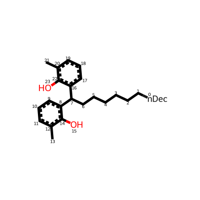 CCCCCCCCCCCCCCCCC(c1cccc(C)c1O)c1cccc(C)c1O